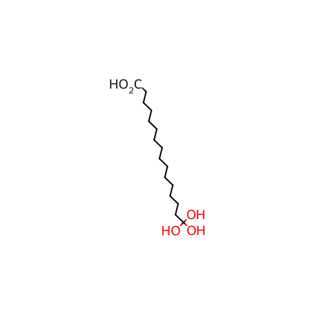 O=C(O)CCCCCCCCCCCCCCC(O)(O)O